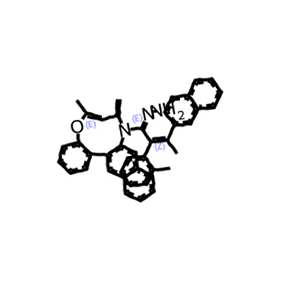 C=C1/C=C(\C)Oc2ccccc2-c2cc3ccccc3cc2N1C(=N/N)/C(=C(/C)c1ccc2ccccc2c1)c1ccccc1C